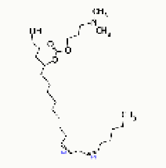 CCCCC/C=C\C/C=C\CCCCCCCCC(CCCO)OC(=O)OCCCN(C)C